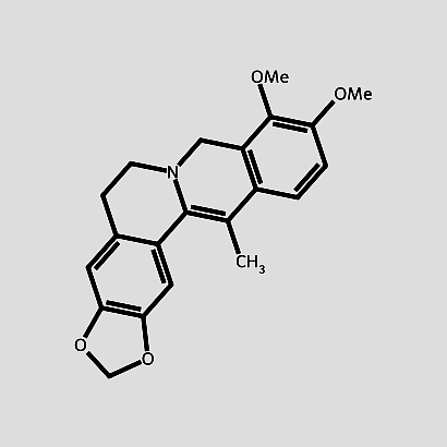 COc1ccc2c(c1OC)CN1CCc3cc4c(cc3C1=C2C)OCO4